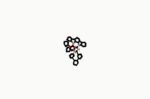 c1ccc(-c2nc(-c3cccc(-c4ccccc4-c4ccccc4)c3)nc(-n3c4ccccc4c4ccc5c6ccccc6n(-c6ccccc6-c6ccccc6)c5c43)n2)cc1